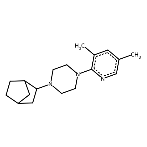 Cc1cnc(N2CCN(C3CC4CCC3C4)CC2)c(C)c1